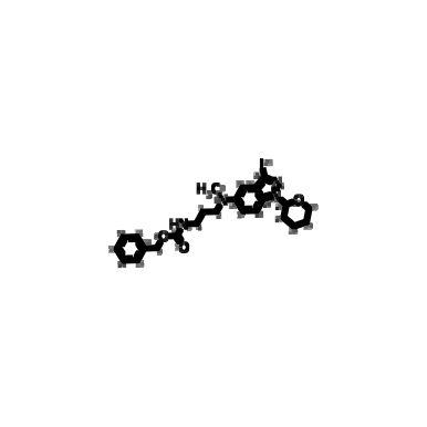 CN(CCCNC(=O)OCc1ccccc1)c1ccc2c(c1)c(I)nn2C1CCCCO1